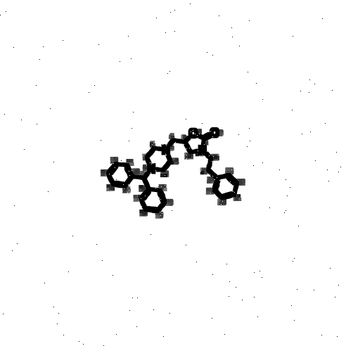 O=C1OC(CN2CCN(C(c3ccccc3)c3ccccc3)CC2)CN1CCc1ccccc1